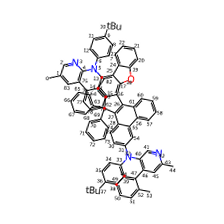 Cc1cnc(N(c2ccc(C(C)(C)C)cc2)c2cc3c(c4oc5ccccc5c24)-c2c(c4ccc(N(c5ccc(C(C)(C)C)cc5)c5cnc(C)cc5-c5ccccc5C)cc4c4ccccc24)C3(c2ccccc2)c2ccccc2)c(-c2ccccc2C)c1